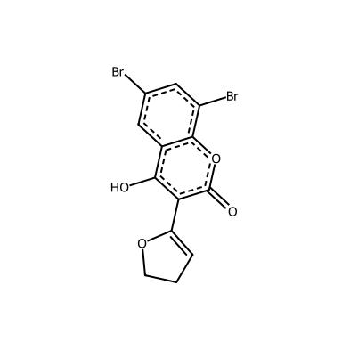 O=c1oc2c(Br)cc(Br)cc2c(O)c1C1=CCCO1